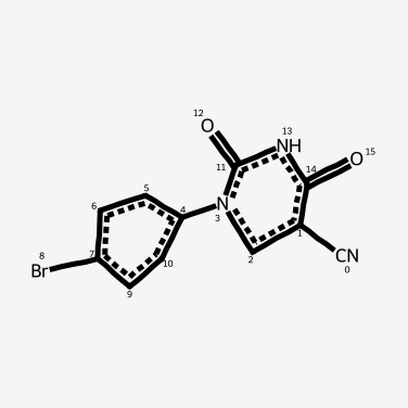 N#Cc1cn(-c2ccc(Br)cc2)c(=O)[nH]c1=O